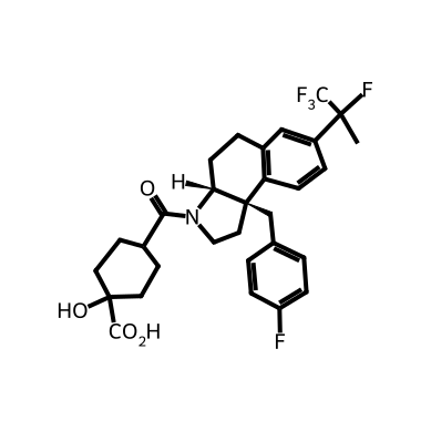 CC(F)(c1ccc2c(c1)CC[C@H]1N(C(=O)C3CCC(O)(C(=O)O)CC3)CC[C@@]21Cc1ccc(F)cc1)C(F)(F)F